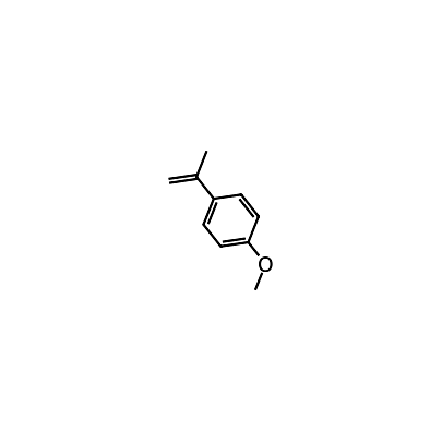 C=C(C)c1ccc(OC)cc1